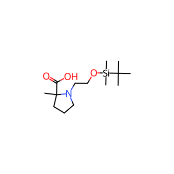 CC1(C(=O)O)CCCN1CCO[Si](C)(C)C(C)(C)C